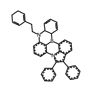 C1=CC2B3c4c(cccc4-n4c(-c5ccccc5)c(-c5ccccc5)c5cccc3c54)N(CCC3=CCCC=C3)C2C=C1